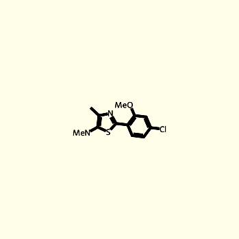 CNc1sc(-c2ccc(Cl)cc2OC)nc1C